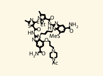 CCc1nc(C)sc1C(=O)Nc1nc2cc(C(N)=O)cc(OCCCN3CCN(C(C)=O)CC3)c2n1C/C=C/Cn1c(NC(=O)c2cc(C)nn2CC)nc2cc(C(N)=O)cc(SC)c21